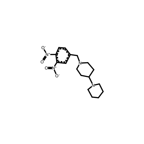 O=[N+]([O-])c1ccc(CN2CCC(N3CCCCC3)CC2)cc1[N+](=O)[O-]